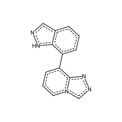 c1cc(-c2cccn3cnnc23)c2[nH]ncc2c1